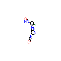 O=CNc1ccc(F)c(-n2cc3cc(N4CC5(COC5)C4)cnc3n2)c1